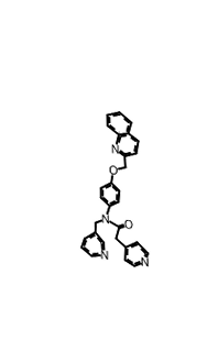 O=C(Cc1ccncc1)N(Cc1cccnc1)c1ccc(OCc2ccc3ccccc3n2)cc1